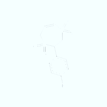 O=S1(=O)C=CCS(=O)(=O)C(c2ccc(F)cc2)C1